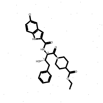 CCOC(=O)C1CCN(C(=O)[C@H](NC(=O)c2cc3cc(Cl)ccc3[nH]2)[C@@H](O)Cc2ccccc2)CC1